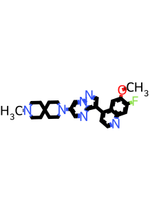 COc1cc2c(-c3cnn4cc(N5CCC6(CCN(C)CC6)CC5)cnc34)ccnc2cc1F